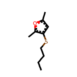 CCCCSc1cc(C)oc1C